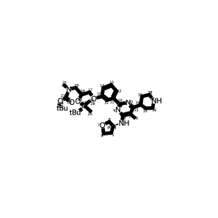 Cc1c(N[C@@H]2CCOC2)nc(-c2cccc(OCC(CN(C)C(=O)OC(C)(C)C)O[Si](C)(C)C(C)(C)C)c2)nc1C1CCNCC1